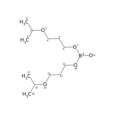 CC(C)OCCCOB([O])OCCCOC(C)C